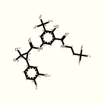 O=C(NCCC(F)(F)F)c1cc(NC(=O)C2C(c3ccc(F)c(Cl)c3)C2(Cl)Cl)cc(C(F)(F)F)c1Cl